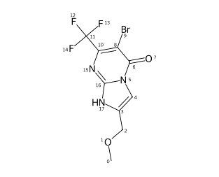 COCc1cn2c(=O)c(Br)c(C(F)(F)F)nc2[nH]1